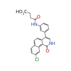 O=C(O)CCC(=O)Nc1cccc(-c2c[nH]c(=O)c3c2ccc2ccc(Cl)cc23)c1